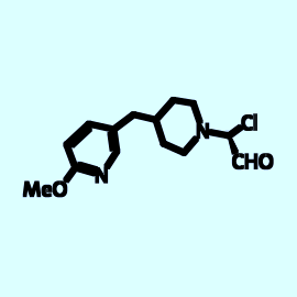 COc1ccc(CC2CCN([C@@H](Cl)C=O)CC2)cn1